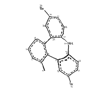 Cc1cccc2c1-c1cc(Br)ccc1Nc1ccc(Br)cc1-2